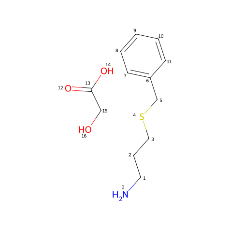 NCCCSCc1ccccc1.O=C(O)CO